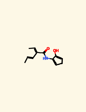 CC=C/C(=C\C)C(=O)NC1=CCC=C1O